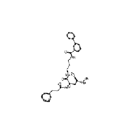 CC(C)(C)NC(=O)CC(NC(=O)CCc1ccccc1)C(=O)NCCCNC(=O)c1cccc(-c2ccccc2)c1